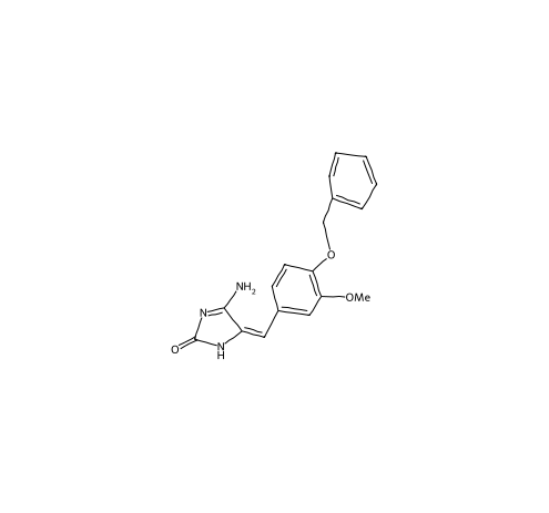 COc1cc(C=C2NC(=O)N=C2N)ccc1OCc1ccccc1